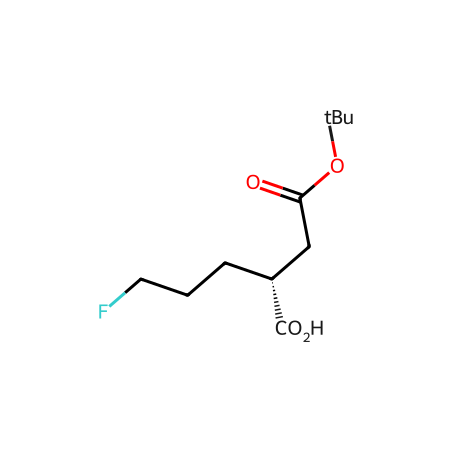 CC(C)(C)OC(=O)C[C@@H](CCCF)C(=O)O